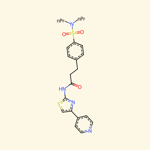 CCCN(CCC)S(=O)(=O)c1ccc(CCC(=O)Nc2nc(-c3ccncc3)cs2)cc1